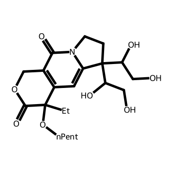 CCCCCOC1(CC)C(=O)OCc2c1cc1n(c2=O)CCC1(C(O)CO)C(O)CO